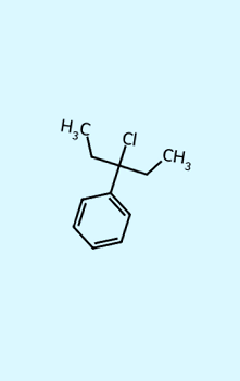 CCC(Cl)(CC)c1ccccc1